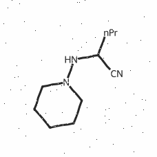 CCCC(C#N)NN1CCCCC1